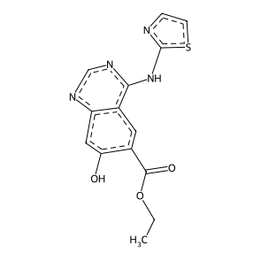 CCOC(=O)c1cc2c(Nc3nccs3)ncnc2cc1O